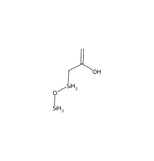 C=C(O)C[SiH2]O[SiH3]